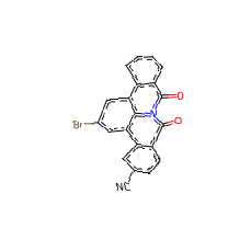 N#Cc1ccc2c(=O)n3c(=O)c4ccccc4c4cc(Br)cc(c2c1)c43